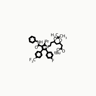 CC(C)c1c(C(=O)Nc2ccccc2)c(-c2ccc(C(F)(F)F)cc2)c(-c2ccc(F)cc2)n1CCC1CC(CC(=O)OC(C)(C)C)OC(C)(C)O1